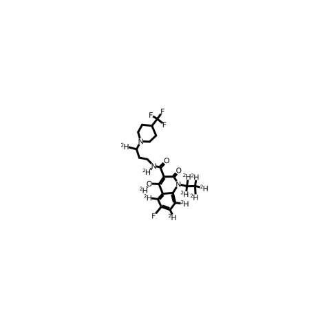 [2H]Oc1c(C(=O)N([2H])CCC([2H])N2CCC(C(F)(F)F)CC2)c(=O)n(C([2H])([2H])C([2H])([2H])[2H])c2c([2H])c([2H])c(F)c([2H])c12